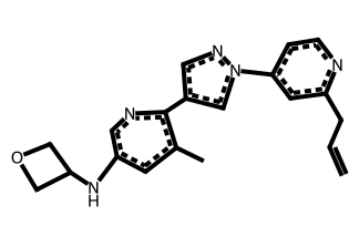 C=CCc1cc(-n2cc(-c3ncc(NC4COC4)cc3C)cn2)ccn1